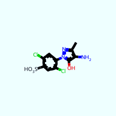 Cc1nn(-c2cc(Cl)c(S(=O)(=O)O)cc2Cl)c(O)c1N